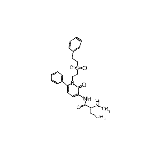 CCC(NC)C(=O)Nc1ccc(-c2ccccc2)n(CCS(=O)(=O)CCc2ccccc2)c1=O